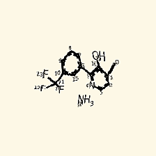 Cc1ccnc(-c2cccc(C(F)(F)F)c2)c1O.N